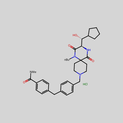 CCCCN1C(=O)[C@@H]([C@H](O)C2CCCC2)NC(=O)C12CCN(Cc1ccc(Cc3ccc(C(=O)NC)cc3)cc1)CC2.Cl